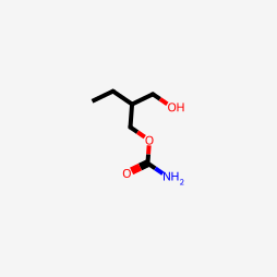 CCC(CO)COC(N)=O